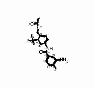 CC(=O)OCC1=CC=C(NC(=O)c2ccc(C)c(N)c2)CC1C(F)(F)F